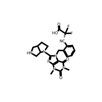 Cn1c(=O)c2c(nc(N3CCC4CNCC43)n2Cc2ccccc2C#N)n(C)c1=O.O=C(O)C(F)(F)F